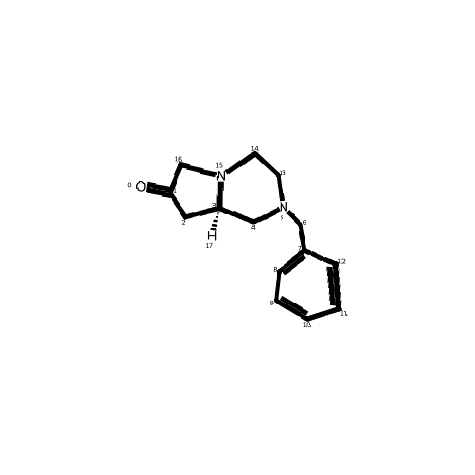 O=C1C[C@@H]2CN(Cc3ccccc3)CCN2C1